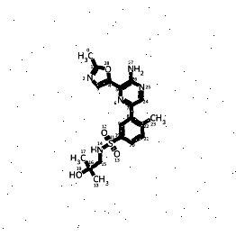 Cc1ncc(-c2nc(-c3cc(S(=O)(=O)NCC(C)(C)O)ccc3C)cnc2N)o1